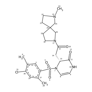 Cc1cc(S(=O)(=O)N2C=CNC(=O)[C@H]2CC(=O)N2CCC3(CCN(C)C3)C2)c(C)cc1Cl